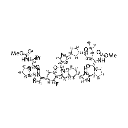 COC(=O)NC(C(=O)N1CCCC1c1ncc(-c2ccc3c(c2)cc2n3C(c3cnc(C4CCCC4)s3)Oc3cc(-c4cnc([C@@H]5CCCN5C(=O)[C@@H](NC(=O)OC)C(C)C)[nH]4)cc(F)c3-2)[nH]1)C1CCOC(C)(C)C1